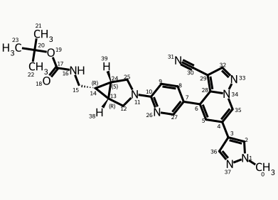 Cn1cc(-c2cc(-c3ccc(N4C[C@@H]5[C@H](CNC(=O)OC(C)(C)C)[C@@H]5C4)nc3)c3c(C#N)cnn3c2)cn1